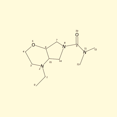 CCN1CCOC2CN(C(=O)N(C)C)CC21